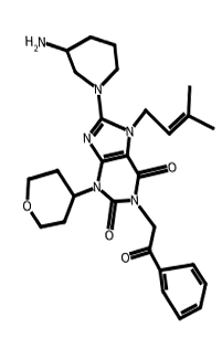 CC(C)=CCn1c(N2CCCC(N)C2)nc2c1c(=O)n(CC(=O)c1ccccc1)c(=O)n2C1CCOCC1